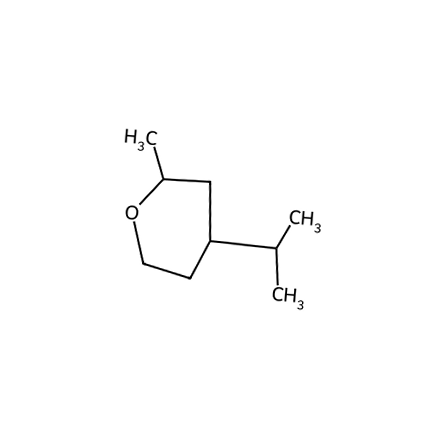 CC1CC(C(C)C)CCO1